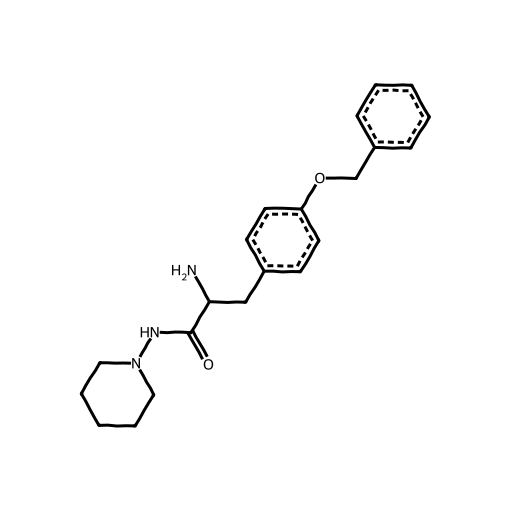 NC(Cc1ccc(OCc2ccccc2)cc1)C(=O)NN1CCCCC1